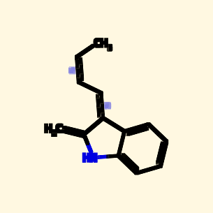 C=c1[nH]c2ccccc2/c1=C/C=C\C